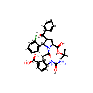 CC(C)(C)OC(=O)C1CC(C(=O)c2ccccc2)C(c2ccccc2F)N1C(=O)Cc1c(NC(N)=O)cccc1C(=O)O